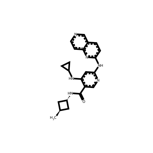 C[C@H]1C[C@H](NC(=O)c2cnc(Nc3ccc4cnccc4n3)cc2NC2CC2)C1